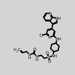 C=CCNC(=O)NCCS(=O)(=O)NC1CCC(Nc2cc(-c3c[nH]c4ncccc34)cc(Cl)n2)CC1